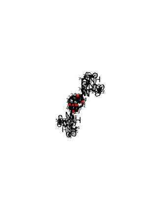 COC(=O)N[C@H](C(=O)N1CCN(S(C)(=O)=O)C[C@H]1c1nc(-c2ccc(-c3cc4ccc3CCc3ccc(c(-c5ccc(-c6c[nH]c([C@@H]7CN(S(C)(=O)=O)CCN7C(=O)[C@@H](NC(=O)OC)C(C)C)n6)cc5)c3)CC4)cc2)c[nH]1)C(C)C